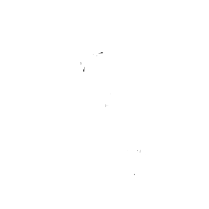 N[C@@H](CCCCNC(=O)OCC1[C@H]2CCC#CCC[C@@H]12)C(=O)O